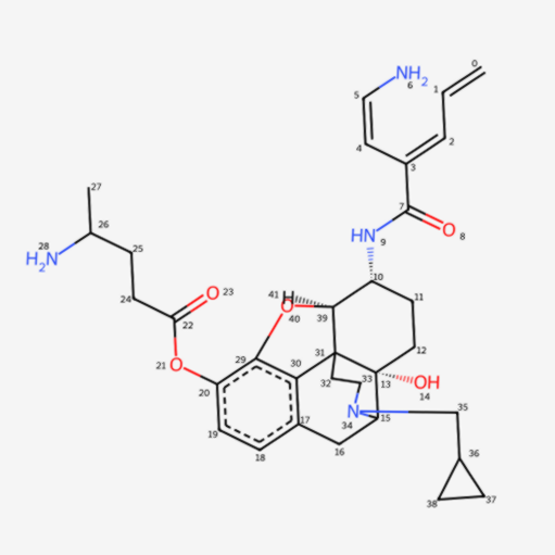 C=C/C=C(\C=C/N)C(=O)N[C@@H]1CC[C@@]2(O)C3Cc4ccc(OC(=O)CCC(C)N)c5c4C2(CCN3CC2CC2)[C@H]1O5